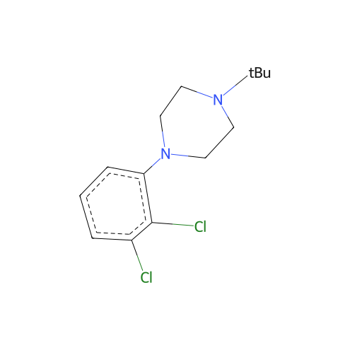 CC(C)(C)N1CCN(c2cccc(Cl)c2Cl)CC1